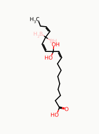 BC(B)(/C=C\CC)/C=C\C(O)(O)/C=C\CCCCCCCC(=O)O